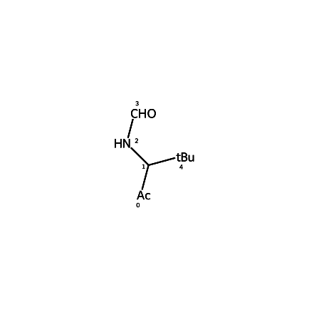 CC(=O)C(NC=O)C(C)(C)C